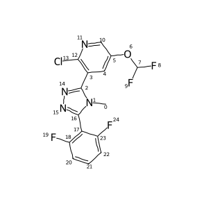 Cn1c(-c2cc(OC(F)F)cnc2Cl)nnc1-c1c(F)cccc1F